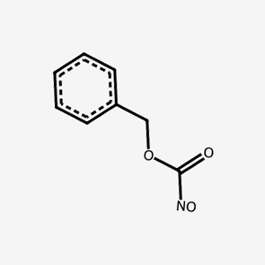 O=NC(=O)OCc1ccccc1